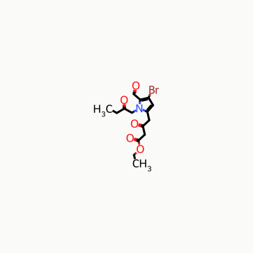 CCOC(=O)CC(=O)Cc1cc(Br)c(C=O)n1CC(=O)CC